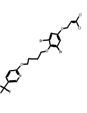 FC(F)(F)c1ccc(OCCCCOc2c(Br)cc(OCC=C(Cl)Cl)cc2Br)nc1